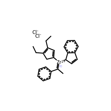 CCC1=C(CC)C[C](/[Zr+2](=[C](/C)c2ccccc2)[CH]2C=Cc3ccccc32)=C1.[Cl-].[Cl-]